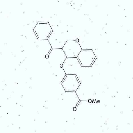 COC(=O)c1ccc(OC2c3ccccc3OCC2C(=O)c2ccccc2)cc1